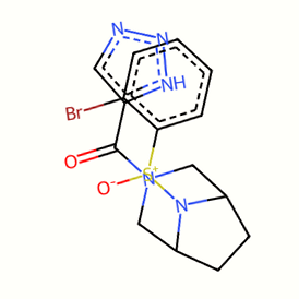 O=C(c1cnn[nH]1)N1CC2CCC(C1)N2[S+]([O-])c1ccccc1Br